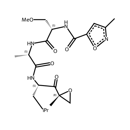 COC[C@H](NC(=O)c1cc(C)no1)C(=O)N[C@@H](C)C(=O)N[C@@H](CC(C)C)C(=O)[C@@]1(C)CO1